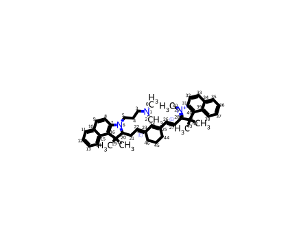 CN(C)CCCN1c2ccc3ccccc3c2C(C)(C)C1C/C=C1C=C(/C=C/C2=[N+](C)c3ccc4ccccc4c3C2(C)C)CCC/1